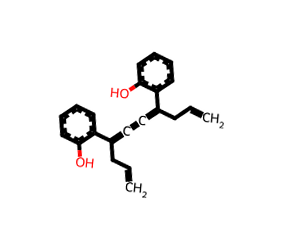 C=CCC(=C=C=C(CC=C)c1ccccc1O)c1ccccc1O